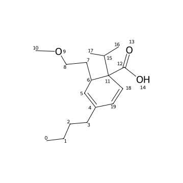 CCCCC1=CC(CCOC)C(C(=O)O)(C(C)C)C=C1